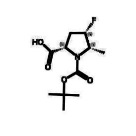 C[C@H]1[C@@H](F)C[C@@H](C(=O)O)N1C(=O)OC(C)(C)C